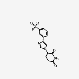 O=C1CCC(n2cnc(-c3cccc(S(=O)(=O)F)c3)c2)C(=O)N1